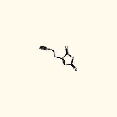 C#CCCC1=CC(=O)OC1=O